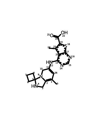 CC1=C2CNC3(CCC3)N2CC(Nc2ncnc3sc(C(=O)O)c(C)c23)=C1